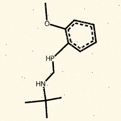 COc1ccccc1PCNC(C)(C)C